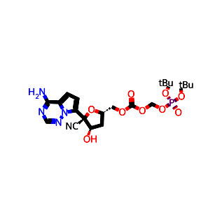 CC(C)(C)OP(=O)(OCOC(=O)OC[C@@H]1C[C@@H](O)[C@](C#N)(c2ccc3c(N)ncnn23)O1)OC(C)(C)C